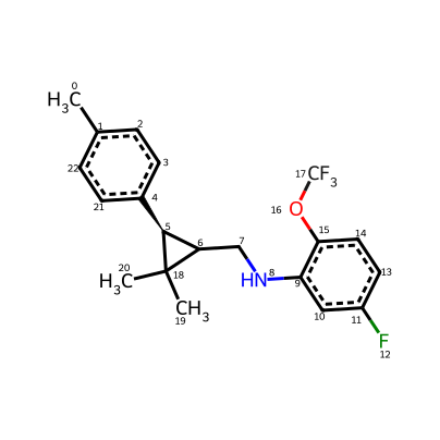 Cc1ccc([C@H]2C(CNc3cc(F)ccc3OC(F)(F)F)C2(C)C)cc1